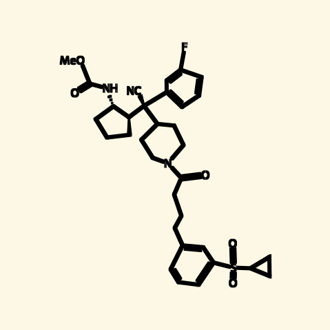 COC(=O)N[C@H]1CCC[C@@H]1[C@](C#N)(c1cccc(F)c1)C1CCN(C(=O)CCCc2cccc(S(=O)(=O)C3CC3)c2)CC1